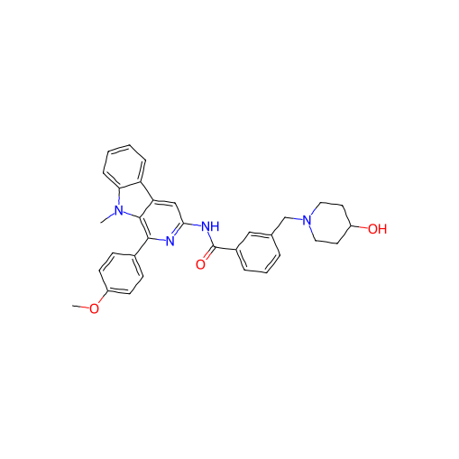 COc1ccc(-c2nc(NC(=O)c3cccc(CN4CCC(O)CC4)c3)cc3c4ccccc4n(C)c23)cc1